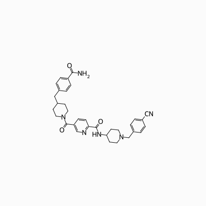 N#Cc1ccc(CN2CCC(NC(=O)c3ccc(C(=O)N4CCC(Cc5ccc(C(N)=O)cc5)CC4)cn3)CC2)cc1